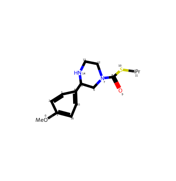 COc1ccc(C2CN(C(=O)SC(C)C)CCN2)cc1